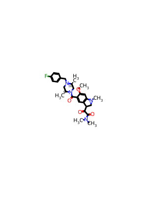 COc1cc2c(cc1C(=O)N1C[C@H](C)N(Cc3ccc(F)cc3)C[C@H]1C)C(C(=O)C(=O)N(C)C)CN2C